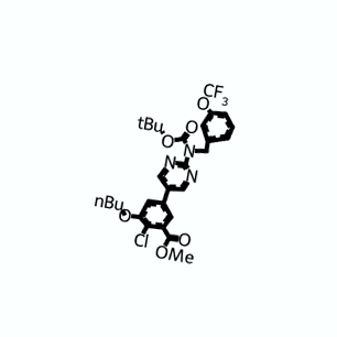 CCCCOc1cc(-c2cnc(N(Cc3cccc(OC(F)(F)F)c3)C(=O)OC(C)(C)C)nc2)cc(C(=O)OC)c1Cl